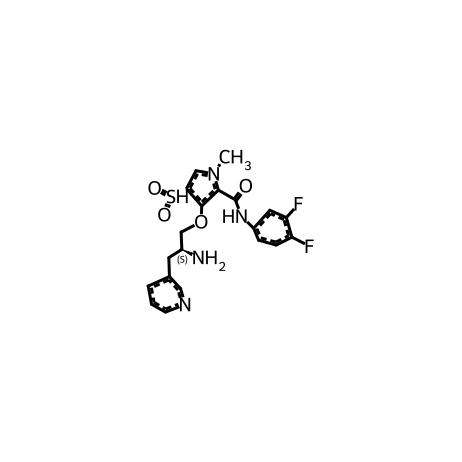 Cn1cc([SH](=O)=O)c(OC[C@@H](N)Cc2cccnc2)c1C(=O)Nc1ccc(F)c(F)c1